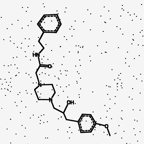 COc1ccc(CC(O)CN2CCN(CC(=O)NCCc3ccccc3)CC2)cc1